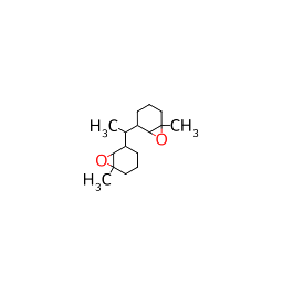 CC(C1CCCC2(C)OC12)C1CCCC2(C)OC12